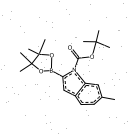 Cc1ccc2cc(B3OC(C)(C)C(C)(C)O3)n(C(=O)OC(C)(C)C)c2c1